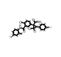 NC(=O)C1(c2ccc(Cl)c(C(=O)Nc3ccc(F)cc3F)c2)C(c2ccc(I)cc2)C1(Cl)Cl